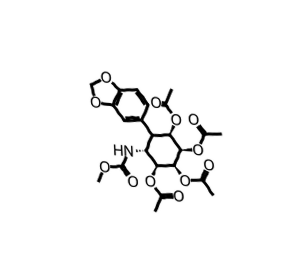 COC(=O)N[C@@H]1C(c2ccc3c(c2)OCO3)[C@@H](OC(C)=O)[C@@H](OC(C)=O)[C@@H](OC(C)=O)[C@H]1OC(C)=O